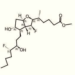 CCCC[C@H](F)[C@H](O)CC[C@@H]1[C@H]2[C@H](F)[C@H]([C@H](I)CCCC(=O)OC)O[C@@H]2C[C@H]1O